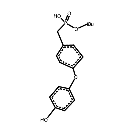 CCC(C)OP(=O)(O)Cc1ccc(Oc2ccc(O)cc2)cc1